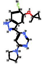 CC1(Oc2cc3c(-c4cc(N5CCCC5)ncn4)n[nH]c3cc2F)CC1